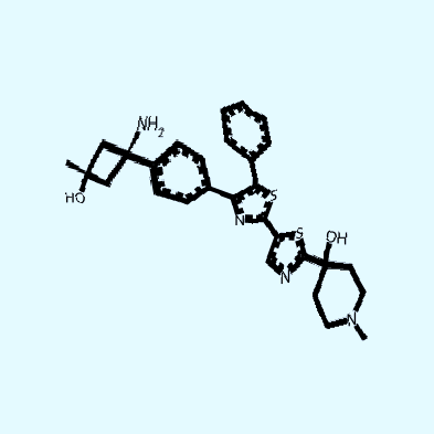 CN1CCC(O)(c2ncc(-c3nc(-c4ccc([C@]5(N)C[C@](C)(O)C5)cc4)c(-c4ccccc4)s3)s2)CC1